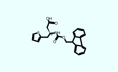 O=C(O)C[C@H](Cc1cccs1)NC(=O)OCC1c2ccccc2-c2ccccc21